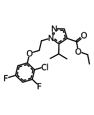 CCOC(=O)c1cnn(CCOc2cc(F)cc(F)c2Cl)c1C(C)C